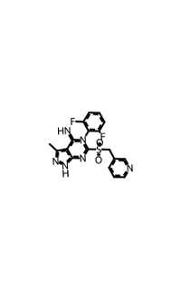 Cc1n[nH]c2nc(S(=O)(=O)Cc3cccnc3)n(-c3c(F)cccc3F)c(=N)c12